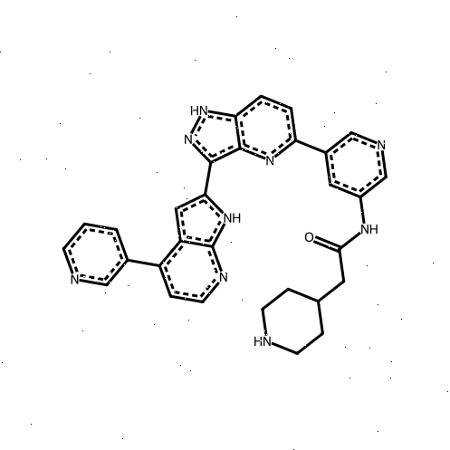 O=C(CC1CCNCC1)Nc1cncc(-c2ccc3[nH]nc(-c4cc5c(-c6cccnc6)ccnc5[nH]4)c3n2)c1